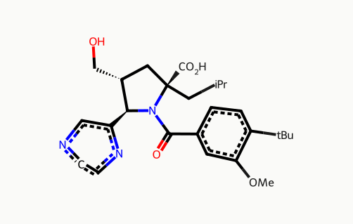 COc1cc(C(=O)N2[C@@H](c3cnccn3)[C@H](CO)C[C@@]2(CC(C)C)C(=O)O)ccc1C(C)(C)C